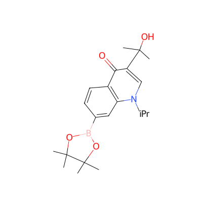 CC(C)n1cc(C(C)(C)O)c(=O)c2ccc(B3OC(C)(C)C(C)(C)O3)cc21